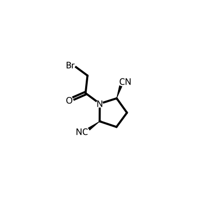 N#C[C@@H]1CC[C@H](C#N)N1C(=O)CBr